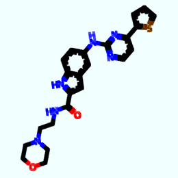 O=C(NCCN1CCOCC1)c1cc2cc(Nc3nccc(-c4cccs4)n3)ccc2[nH]1